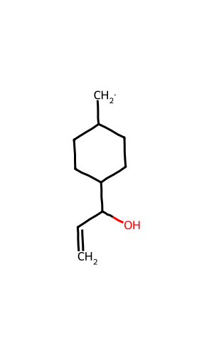 [CH2]C1CCC(C(O)C=C)CC1